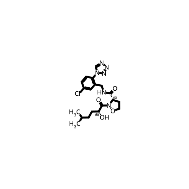 CC(C)CC[C@@H](O)C(=O)N1OCC[C@H]1C(=O)NCc1cc(Cl)ccc1-n1cnnn1